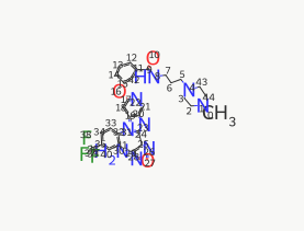 CN1CCN(CCCNC(=O)c2cccc(Oc3cc4c(cn3)nc(-c3nonc3N)n4-c3ccc(C(F)(F)F)cc3)c2)CC1